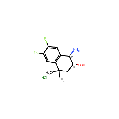 CC1(C)C[C@@H](O)[C@H](N)c2cc(F)c(F)cc21.Cl